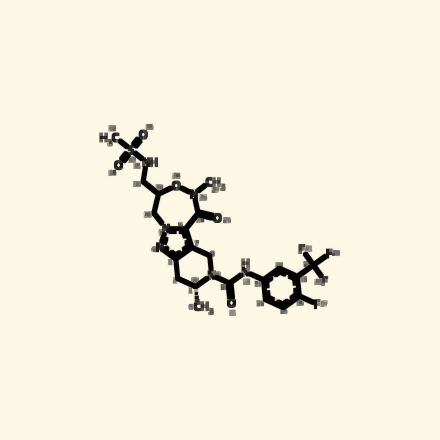 C[C@@H]1Cc2nn3c(c2CN1C(=O)Nc1ccc(F)c(C(F)(F)F)c1)C(=O)N(C)OC(CNS(C)(=O)=O)C3